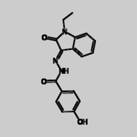 CCN1C(=O)/C(=N/NC(=O)c2ccc(O)cc2)c2ccccc21